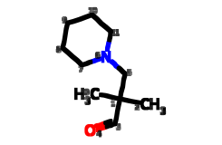 CC(C)(C=O)CN1CCCCC1